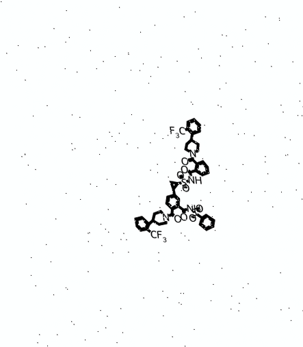 O=C(NS(=O)(=O)c1ccccc1)c1cc(C2CC2S(=O)(=O)NC(=O)c2ccccc2C(=O)N2CCC(c3ccccc3C(F)(F)F)CC2)ccc1C(=O)N1CCC(c2ccccc2C(F)(F)F)CC1